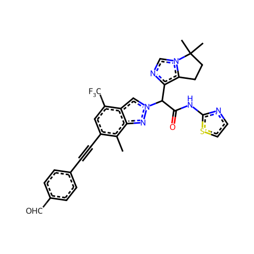 Cc1c(C#Cc2ccc(C=O)cc2)cc(C(F)(F)F)c2cn(C(C(=O)Nc3nccs3)c3ncn4c3CCC4(C)C)nc12